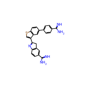 N=C(N)c1ccc(-c2ccc3scc(C4=Nc5ccc(C(=N)N)cc5C4)c3c2)cc1